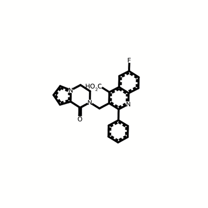 O=C(O)c1c(CN2CCn3cccc3C2=O)c(-c2ccccc2)nc2ccc(F)cc12